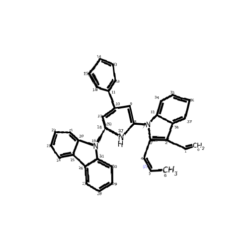 C=Cc1c(/C=C\C)n(C2=CC(c3ccccc3)=C[C@H](n3c4ccccc4c4ccccc43)N2)c2ccccc12